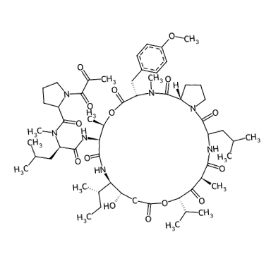 CC[C@H](C)[C@H]1NC(=O)[C@@H](NC(=O)[C@@H](CC(C)C)N(C)C(=O)C2CCCN2C(=O)C(C)=O)[C@@H](C)OC(=O)[C@H](Cc2ccc(OC)cc2)N(C)C(=O)[C@@H]2CCCN2C(=O)C(CC(C)C)NC(=O)[C@@H](C)C(=O)[C@H](C(C)C)OC(=O)C[C@@H]1O